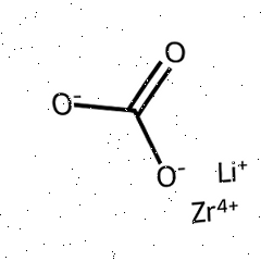 O=C([O-])[O-].[Li+].[Zr+4]